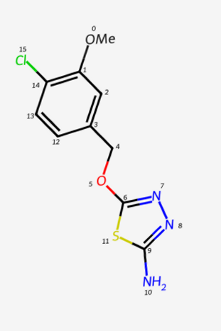 COc1cc(COc2nnc(N)s2)ccc1Cl